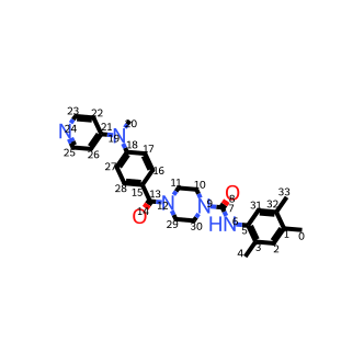 Cc1cc(C)c(NC(=O)N2CCN(C(=O)c3ccc(N(C)c4ccncc4)cc3)CC2)cc1C